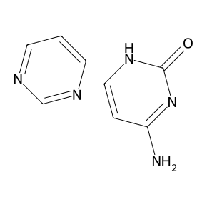 Nc1cc[nH]c(=O)n1.c1cncnc1